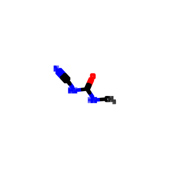 CNC(=O)NC#N